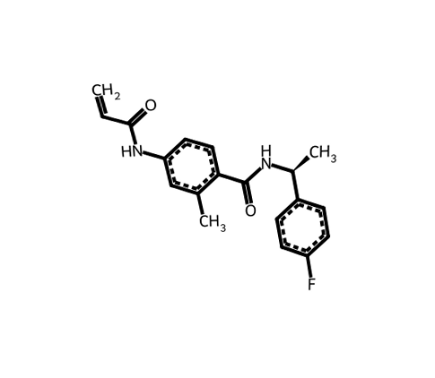 C=CC(=O)Nc1ccc(C(=O)N[C@@H](C)c2ccc(F)cc2)c(C)c1